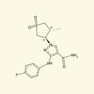 C[C@H]1CS(=O)(=O)C[C@@H]1n1cc(C(N)=O)c(Nc2ccc(F)cc2)n1